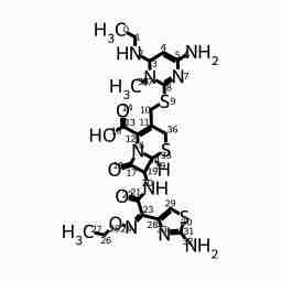 CCNC1C=C(N)N=C(SCC2=C(C(=O)O)N3C(=O)C(NC(=O)/C(=N\OCC)c4csc(N)n4)[C@@H]3SC2)N1C